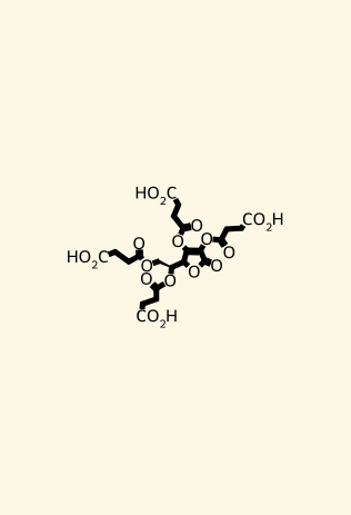 O=C(O)CCC(=O)OC[C@H](OC(=O)CCC(=O)O)C1OC(=O)C(OC(=O)CCC(=O)O)=C1OC(=O)CCC(=O)O